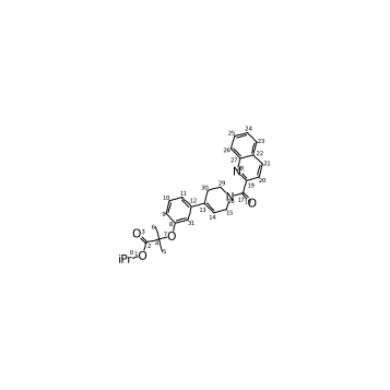 CC(C)OC(=O)C(C)(C)Oc1cccc(C2=CCN(C(=O)c3ccc4ccccc4n3)CC2)c1